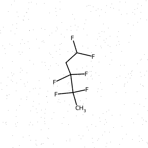 CC(F)(F)C(F)(F)C[C](F)F